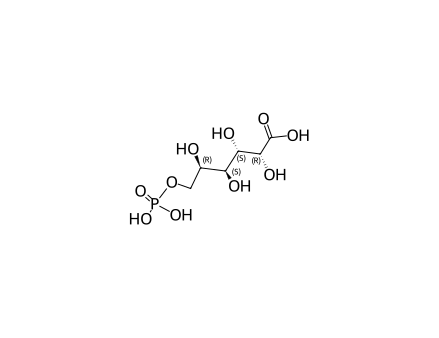 O=C(O)[C@H](O)[C@@H](O)[C@@H](O)[C@H](O)COP(=O)(O)O